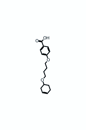 O=C(O)c1ccc(OCCCCOC2CC=CCC2)cc1